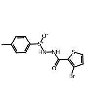 Cc1ccc([S+]([O-])NNC(=O)c2sccc2Br)cc1